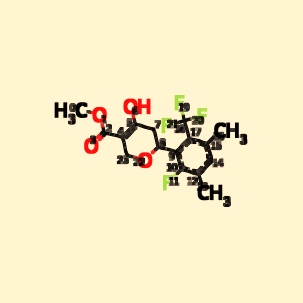 COC(=O)C1=C(O)CC(c2c(F)c(C)cc(C)c2C(F)(F)F)OC1